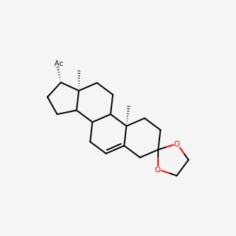 CC(=O)[C@H]1CCC2C3CC=C4CC5(CC[C@]4(C)C3CC[C@@]21C)OCCO5